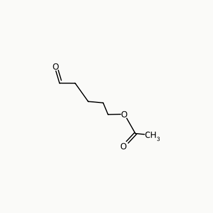 CC(=O)OCCCCC=O